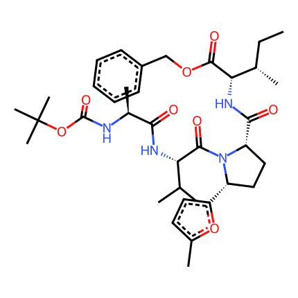 CC[C@H](C)[C@H](NC(=O)[C@@H]1CC[C@H](c2ccc(C)o2)N1C(=O)[C@@H](NC(=O)[C@H](C)NC(=O)OC(C)(C)C)C(C)C)C(=O)OCc1ccccc1